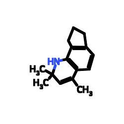 CC1=CC(C)(C)Nc2c1ccc1c2CCC1